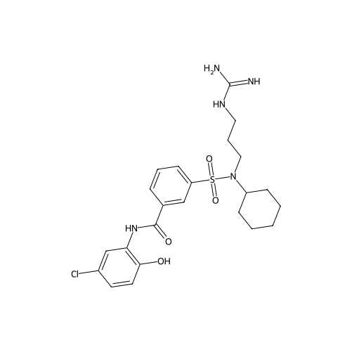 N=C(N)NCCCN(C1CCCCC1)S(=O)(=O)c1cccc(C(=O)Nc2cc(Cl)ccc2O)c1